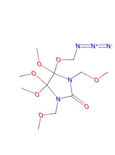 COCN1C(=O)N(COC)C(OC)(OCN=[N+]=[N-])C1(OC)OC